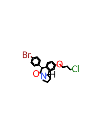 O=C1[C@@H](c2ccc(Br)cc2)c2ccc(OCCCCl)cc2[C@@H]2CCCN12